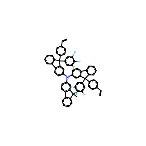 C=Cc1ccc(C2(c3cc(F)c(F)c(F)c3)c3ccccc3-c3ccc(N(c4ccc5c(c4)C(C)(C)c4ccccc4-5)c4ccc5c(c4)C(c4ccc(C=C)cc4)(c4cc(F)c(F)c(F)c4)c4ccccc4-5)cc32)cc1